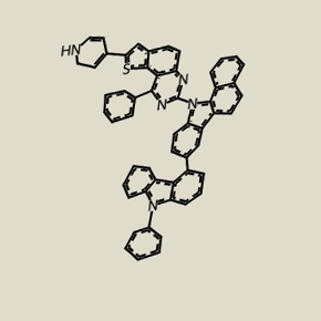 C1=CC(c2cc3ccc4nc(-n5c6ccc(-c7cccc8c7c7ccccc7n8-c7ccccc7)cc6c6ccc7ccccc7c65)nc(-c5ccccc5)c4c3s2)=CCN1